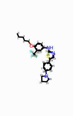 CCCCCOc1ccc(Nc2ncc(-c3ccc(N4CCCC4)cc3)s2)cc1C(F)(F)F